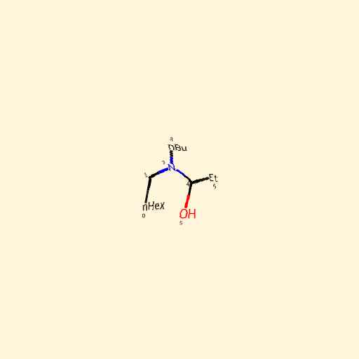 CCCCCCCN(CCCC)C(O)CC